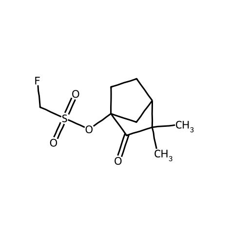 CC1(C)C(=O)C2(OS(=O)(=O)CF)CCC1C2